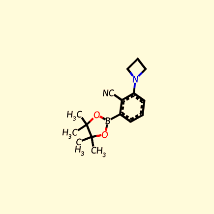 CC1(C)OB(c2cccc(N3CCC3)c2C#N)OC1(C)C